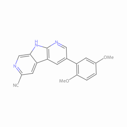 COc1ccc(OC)c(-c2cnc3[nH]c4cnc(C#N)cc4c3c2)c1